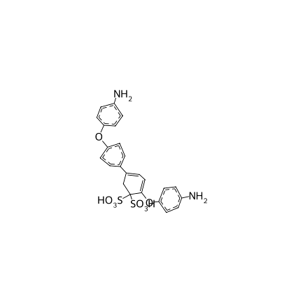 Nc1ccc(OC2=CC=C(c3ccc(Oc4ccc(N)cc4)cc3)CC2(S(=O)(=O)O)S(=O)(=O)O)cc1